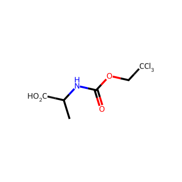 CC(NC(=O)OCC(Cl)(Cl)Cl)C(=O)O